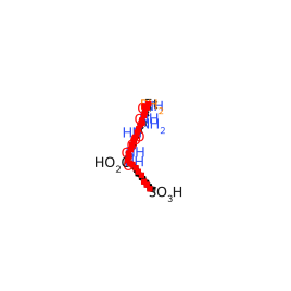 CCN[C@@H](CCCCNC(=O)[C@@H](N)CCCCNC(=O)COCCOCCNC(=O)CC[C@H](NC(=O)CCCCCCCCCCCCCCCS(=O)(=O)O)C(=O)O)C(=O)P